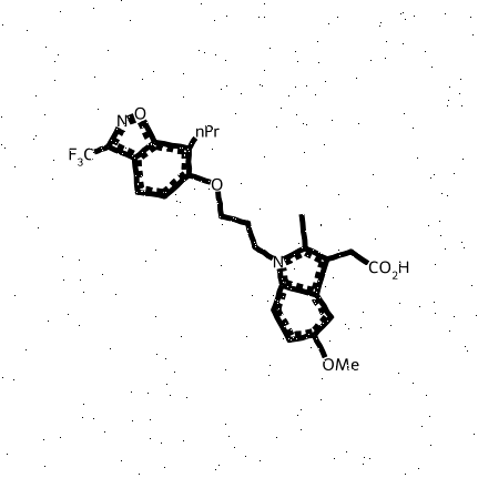 CCCc1c(OCCCn2c(C)c(CC(=O)O)c3cc(OC)ccc32)ccc2c(C(F)(F)F)noc12